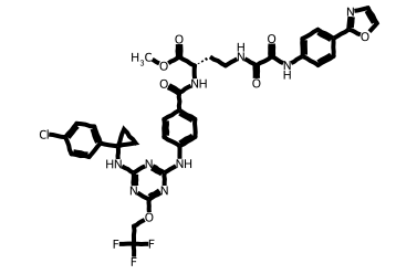 COC(=O)[C@H](CCNC(=O)C(=O)Nc1ccc(-c2ncco2)cc1)NC(=O)c1ccc(Nc2nc(NC3(c4ccc(Cl)cc4)CC3)nc(OCC(F)(F)F)n2)cc1